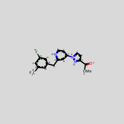 COC(=O)c1ccn(-c2ccnc(Cc3cc(F)cc(C(F)(F)F)c3)c2)n1